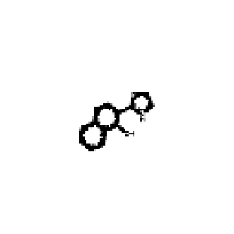 Oc1c(-c2ncc[nH]2)ccc2ccccc12